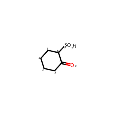 O=C1CCCCC1S(=O)(=O)O